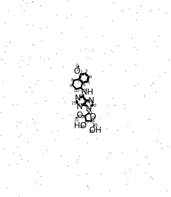 COc1cccc2c1CCCC2Nc1ncnc2c1ncn2[C@@H]1O[C@H](CO)[C@@H](O)[C@H]1OC